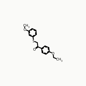 CCOc1ccc(C(=O)CSc2cccc(OC)c2)cc1